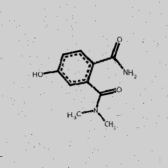 CN(C)C(=O)c1cc(O)ccc1C(N)=O